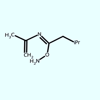 C=C(C)/N=C(/CC(C)C)ON